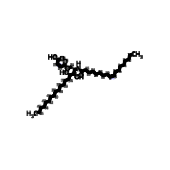 CCCCCCCC/C=C\CCCCCCCC(=O)N[C@@H](COC(=O)/C=C\C(=O)O)C(O)[C@H](O)CCCCCCCCCCCCCC